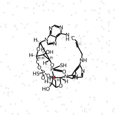 O=P1(S)OCC2O[C@@H]3[C@H](OP(=O)(S)OC[C@H]4O[C@H]([C@H](O1)[C@@H]4O)n1cnc4c(ncnc41)NC/C=C/CNc1ncnc4c1ncn43)[C@@H]2O